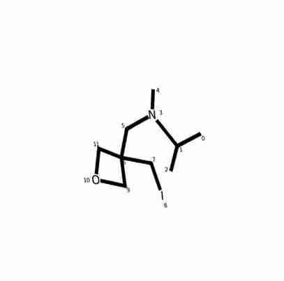 CC(C)N(C)CC1(CI)COC1